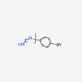 CC(C)c1ccc(C(C)(C)N=C=N)cc1